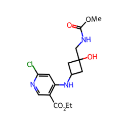 CCOC(=O)c1cnc(Cl)cc1NC1CC(O)(CNC(=O)OC)C1